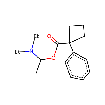 CCN(CC)C(C)OC(=O)C1(c2ccccc2)CCC1